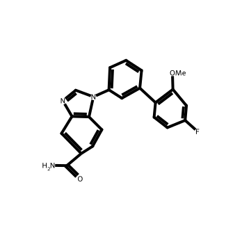 COc1cc(F)ccc1-c1cccc(-n2cnc3cc(C(N)=O)ccc32)c1